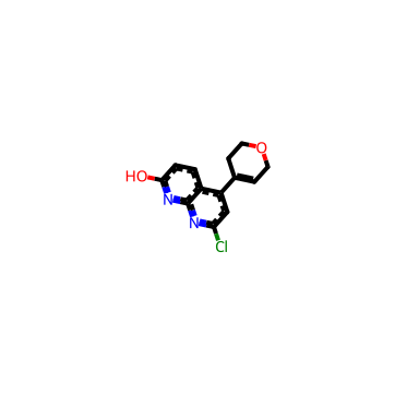 Oc1ccc2c(C3=CCOCC3)cc(Cl)nc2n1